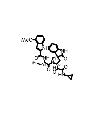 COc1cccc2[nH]c(C(=O)N[C@@H](CC(C)C)C(=O)N3C[C@]4(C[C@H]3C(O)C(=O)NC3CC3)C(=O)Nc3ccccc34)cc12